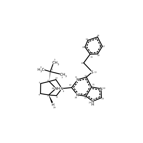 CC(C)(C)[C@]12CC[C@@H](CN(c3nc(SCc4ccccc4)c4nc[nH]c4n3)C1)N2